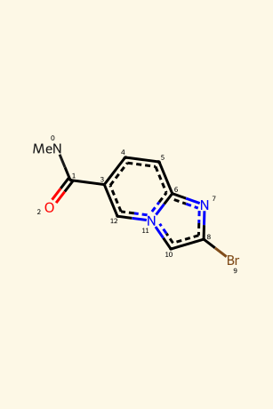 CNC(=O)c1ccc2nc(Br)cn2c1